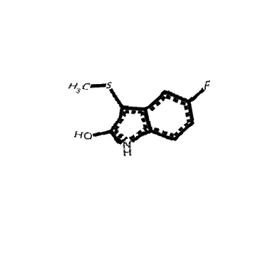 CSc1c(O)[nH]c2ccc(F)cc12